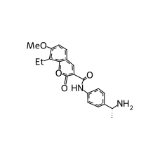 CCc1c(OC)ccc2cc(C(=O)Nc3ccc([C@@H](C)N)cc3)c(=O)oc12